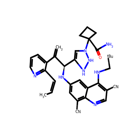 C=C(c1cccnc1/C=C\C)[C@H](Nc1cc(C#N)c2ncc(C#N)c(NCC(C)(C)C)c2c1)C1=CN(C2(C(N)=O)CCC2)NN1